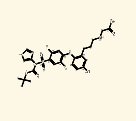 CC(C)(C)OC(=O)N(c1cscn1)S(=O)(=O)c1cc(F)c(Oc2ccc(Cl)cc2CCCNCC(=O)O)cc1F